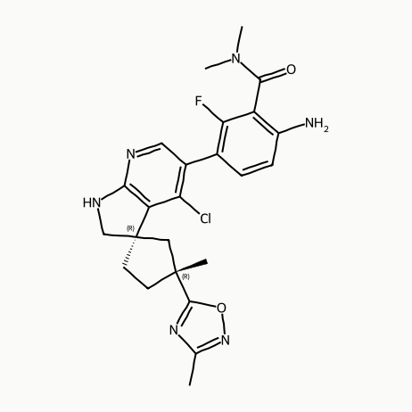 Cc1noc([C@]2(C)CC[C@@]3(CNc4ncc(-c5ccc(N)c(C(=O)N(C)C)c5F)c(Cl)c43)C2)n1